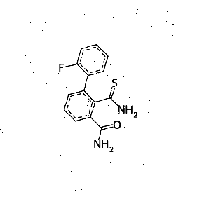 NC(=O)c1cccc(-c2ccccc2F)c1C(N)=S